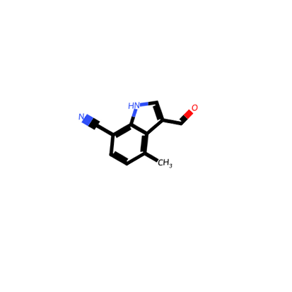 Cc1ccc(C#N)c2[nH]cc(C=O)c12